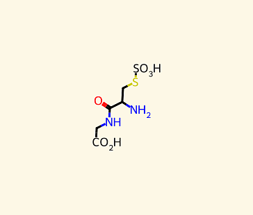 NC(CSS(=O)(=O)O)C(=O)NCC(=O)O